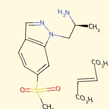 C[C@H](N)Cn1ncc2ccc(S(C)(=O)=O)cc21.O=C(O)/C=C/C(=O)O